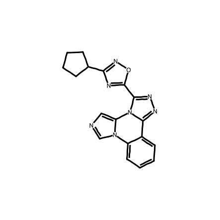 c1ccc2c(c1)c1nnc(-c3nc(C4CCCC4)no3)n1c1cncn21